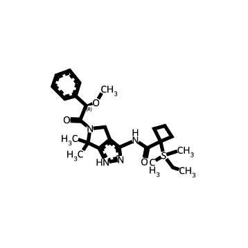 CCS(C)(C)C1(C(=O)Nc2n[nH]c3c2CN(C(=O)[C@H](OC)c2ccccc2)C3(C)C)CCC1